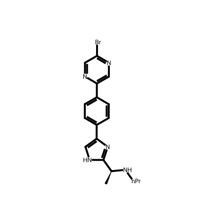 CCCN[C@@H](C)c1nc(-c2ccc(-c3cnc(Br)cn3)cc2)c[nH]1